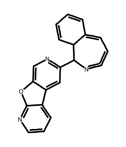 C1=CC=C2C=CC=CC2C(c2cc3c(cn2)oc2ncccc23)N=1